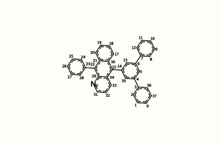 c1ccc(-c2cc(-c3ccccc3)cc(-c3c4ccccc4c(-c4ccccc4)c4ncccc34)c2)cc1